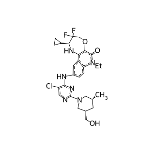 CCn1c(=O)c2c(c3cc(Nc4nc(N5C[C@@H](C)C[C@@H](CO)C5)ncc4Cl)ccc31)N[C@@H](C1CC1)C(F)(F)CO2